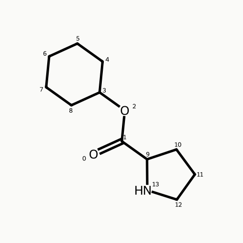 O=C(OC1CCCCC1)C1CCCN1